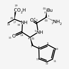 CC[C@H](C)[C@H](N)C(=O)N[C@@H](Cc1ccccc1)C(=O)N[C@@H](C)C(=O)O